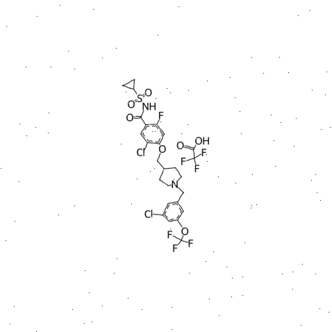 O=C(NS(=O)(=O)C1CC1)c1cc(Cl)c(OCC2CCN(Cc3cc(Cl)cc(OC(F)(F)F)c3)CC2)cc1F.O=C(O)C(F)(F)F